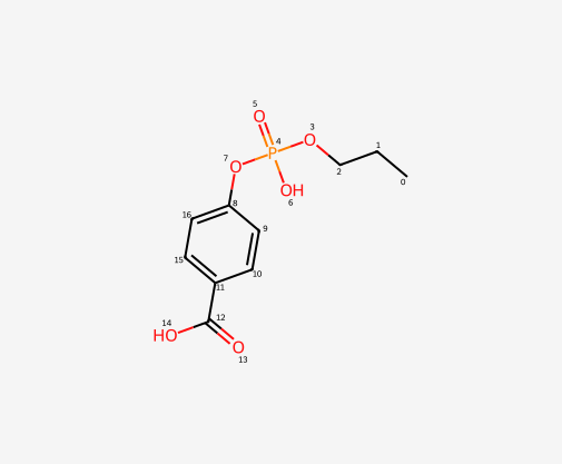 CCCOP(=O)(O)Oc1ccc(C(=O)O)cc1